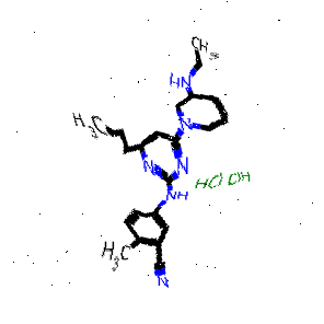 CCCc1cc(N2CCCC(NCC)C2)nc(Nc2ccc(C)c(C#N)c2)n1.Cl.Cl